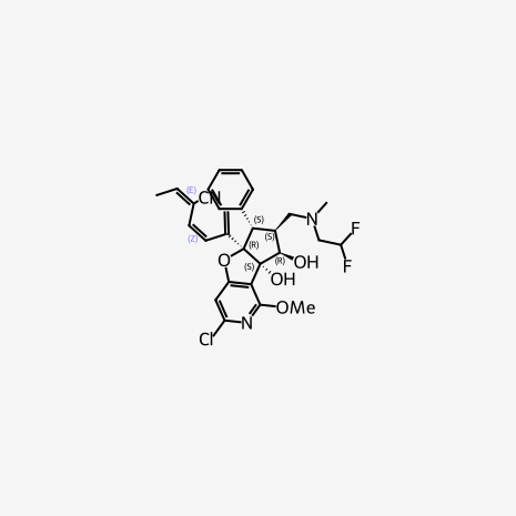 C=C(/C=C\C(C#N)=C/C)[C@@]12Oc3cc(Cl)nc(OC)c3[C@]1(O)[C@H](O)[C@H](CN(C)CC(F)F)[C@H]2c1ccccc1